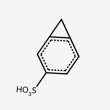 O=S(=O)(O)c1ccc2c(c1)C2